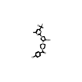 Cc1cc(C(F)(F)F)nc(N2C[C@@H](O)[C@H](N3CCN(C(=O)c4ccc(Cl)cc4)CC3)C2)n1